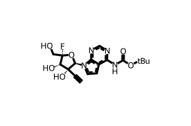 C#C[C@]1(O)[C@H](n2ccc3c(NC(=O)OC(C)(C)C)ncnc32)O[C@](F)(CO)[C@H]1O